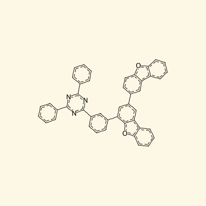 c1ccc(-c2nc(-c3ccccc3)nc(-c3cccc(-c4cc(-c5ccc6oc7ccccc7c6c5)cc5c4oc4ccccc45)c3)n2)cc1